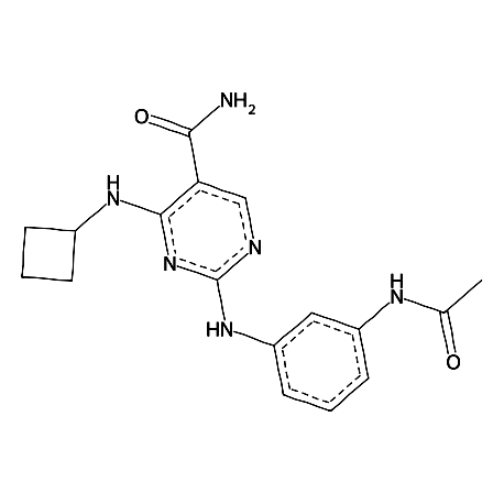 CC(=O)Nc1cccc(Nc2ncc(C(N)=O)c(NC3CCC3)n2)c1